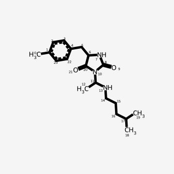 Cc1ccc(CC2NC(=O)N(C(C)NCCCC(C)C)C2=O)cc1